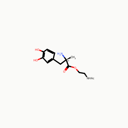 CC(=O)NCCOC(=O)[C@@](C)(N)Cc1ccc(O)c(O)c1